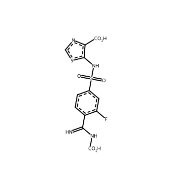 N=C(NC(=O)O)c1ccc(S(=O)(=O)Nc2scnc2C(=O)O)cc1F